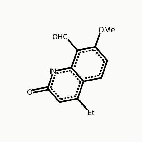 CCc1cc(=O)[nH]c2c(C=O)c(OC)ccc12